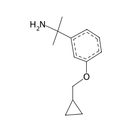 CC(C)(N)c1cccc(OCC2CC2)c1